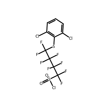 O=S(=O)(Cl)C(F)(F)C(F)(F)C(F)(F)C(F)(F)Sc1c(Cl)cccc1Cl